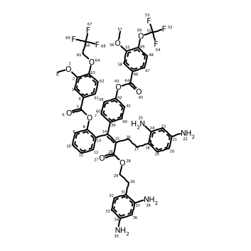 COc1cc(C(=O)Oc2ccccc2/C(=C(/CCc2ccc(N)cc2N)C(=O)OCCc2ccc(N)cc2N)c2ccc(OC(=O)c3ccc(OC(F)(F)F)c(OC)c3)cc2)ccc1OCC(F)(F)F